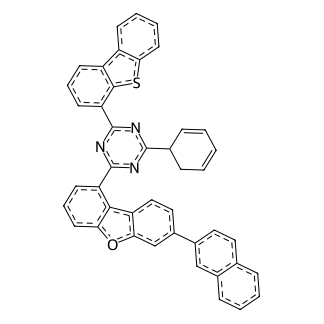 C1=CCC(c2nc(-c3cccc4c3sc3ccccc34)nc(-c3cccc4oc5cc(-c6ccc7ccccc7c6)ccc5c34)n2)C=C1